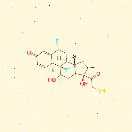 CC1C[C@H]2[C@@H]3CC(F)C4=CC(=O)C=C[C@]4(C)[C@@]3(F)C(O)C[C@]2(C)[C@@]1(O)C(=O)CS